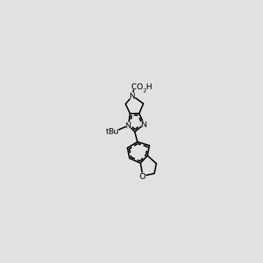 CC(C)(C)n1c(-c2ccc3c(c2)CCO3)nc2c1CN(C(=O)O)C2